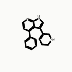 C1=C(c2c[nH]c3nccc(-c4ccccc4)c23)CNCC1